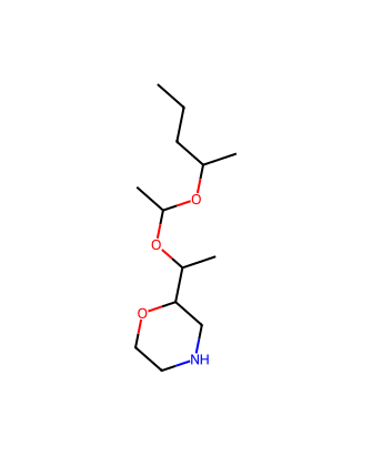 CCCC(C)OC(C)OC(C)C1CNCCO1